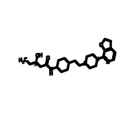 CC[C@@H](O)CC(=O)NC1CCC(CCN2CCN(c3nccc4c3OCC4)CC2)CC1